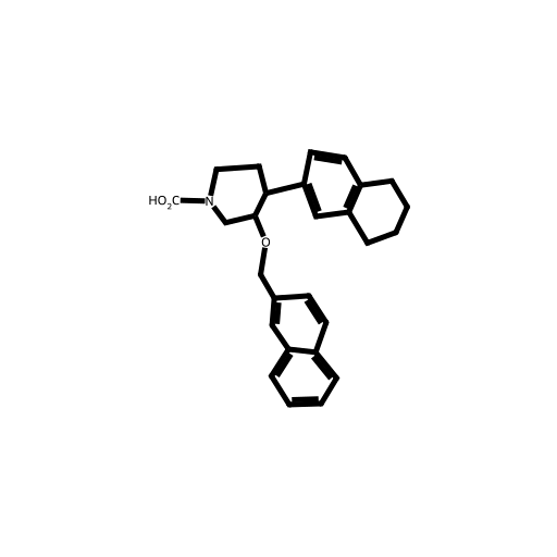 O=C(O)N1CCC(c2ccc3c(c2)CCCC3)C(OCc2ccc3ccccc3c2)C1